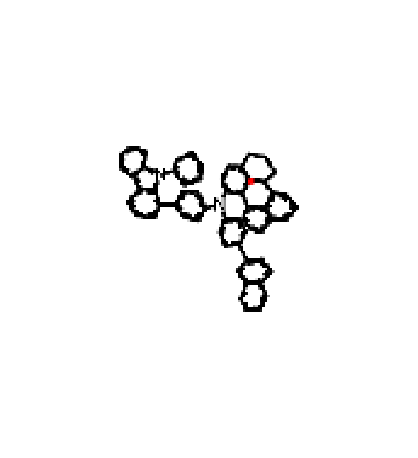 c1ccc(-n2c3ccccc3c3cccc(-c4ccc(N(c5ccc(-c6ccc7ccccc7c6)cc5)c5ccccc5-c5cccc6cccc(C7CCCCC7)c56)cc4)c32)cc1